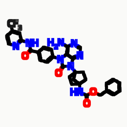 Nc1ncnc2c1n(-c1ccc(C(=O)Nc3cc(C(F)(F)F)ccn3)cc1)c(=O)n2C12CCC(NC(=O)OCc3ccccc3)(CC1)C2